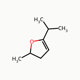 CC1CC=C(C(C)C)O1